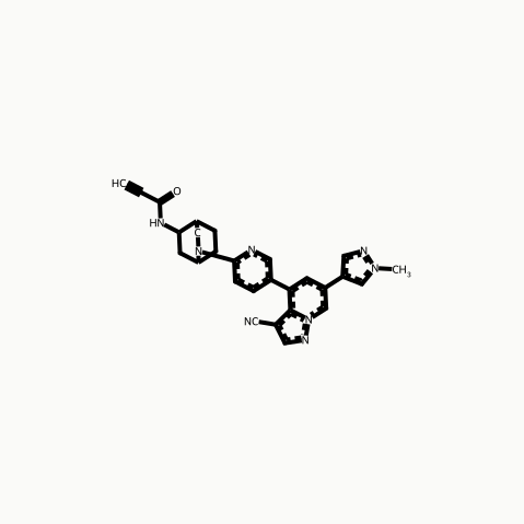 C#CC(=O)NC1CC2CCC1CN2c1ccc(-c2cc(-c3cnn(C)c3)cn3ncc(C#N)c23)cn1